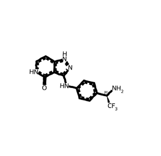 N[C@H](c1ccc(Nc2n[nH]c3cc[nH]c(=O)c23)cc1)C(F)(F)F